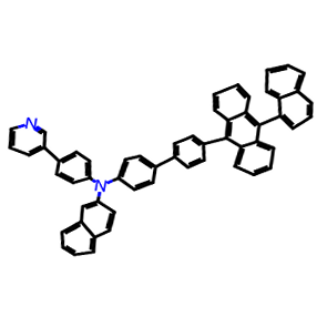 c1cncc(-c2ccc(N(c3ccc(-c4ccc(-c5c6ccccc6c(-c6cccc7ccccc67)c6ccccc56)cc4)cc3)c3ccc4ccccc4c3)cc2)c1